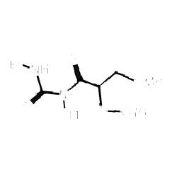 CCNC(=O)N(C)C(=O)C(COC)O[C]=O